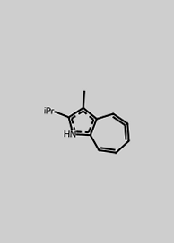 Cc1c(C(C)C)[nH]c2c1C=C=CC=C2